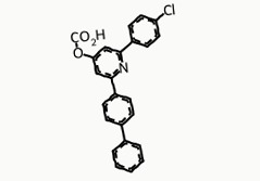 O=C(O)Oc1cc(-c2ccc(Cl)cc2)nc(-c2ccc(-c3ccccc3)cc2)c1